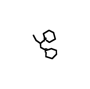 CCC(CP1CCCCC1)P1CCCCC1